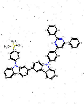 CS(C)(C)c1ccc(-n2c3ccccc3c3ccc(-c4ccc5c(c4)c4ccccc4n5-c4ccc(-c5cc(-c6ccccc6)nc(-c6ccccc6)n5)cc4)cc32)cc1